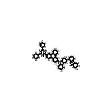 c1ccc(-c2nc(-c3ccccc3)nc(-c3ccc4c5ccc(-n6c7ccccc7c7cc(-c8cccc9c8sc8ccccc89)ccc76)cc5c5ccccc5c4c3)n2)cc1